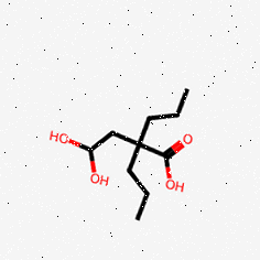 CCCC(CCC)(CC(O)O)C(=O)O